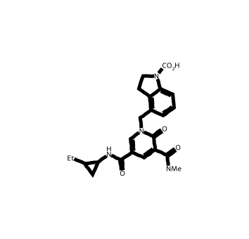 CCC1CC1NC(=O)c1cc(C(=O)NC)c(=O)n(Cc2cccc3c2CCN3C(=O)O)c1